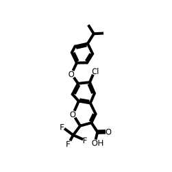 CC(C)c1ccc(Oc2cc3c(cc2Cl)C=C(C(=O)O)C(C(F)(F)F)O3)cc1